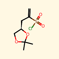 C=C(C[C@@H]1COC(C)(C)O1)S(=O)(=O)Cl